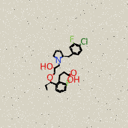 CC[C@@H](OC[C@H](O)CN1CCC[C@H]1Cc1ccc(Cl)c(F)c1)c1cccc(F)c1CCC(=O)O